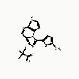 Cc1ccc(-c2nnc3cnc4[nH]ccc4n23)s1.O=C(O)C(F)(F)F